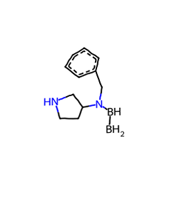 BBN(Cc1ccccc1)C1CCNC1